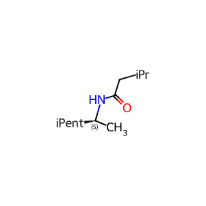 CCCC(C)[C@H](C)NC(=O)CC(C)C